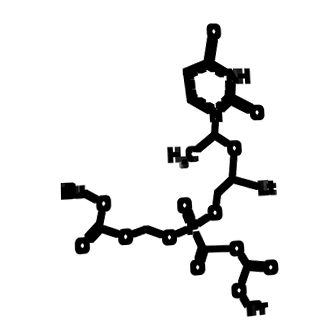 CCC(C)OC(=O)OCOP(=O)(OCC(CC)OC(C)n1ccc(=O)[nH]c1=O)C(=O)OC(=O)OC(C)C